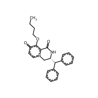 CCCCOc1c2n(ccc1=O)C[C@@H](C(c1ccccc1)c1ccccc1)NC2=O